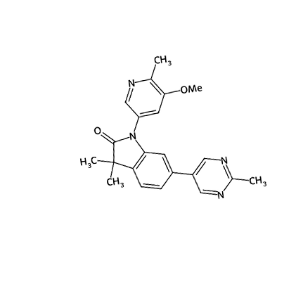 COc1cc(N2C(=O)C(C)(C)c3ccc(-c4cnc(C)nc4)cc32)cnc1C